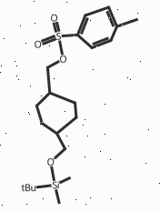 Cc1ccc(S(=O)(=O)OCC2CCC(CO[Si](C)(C)C(C)(C)C)CC2)cc1